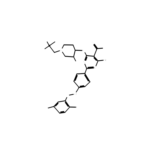 CC(=N)c1c(N)nc(-c2ccc(NSc3cc(Cl)ccc3F)cc2)nc1OC1CCN(CC(C)(C)O)CC1F